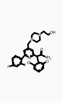 NC(=O)C(c1cc(CN2CCN(CCO)CC2)cc(-c2ccc(F)cc2F)n1)c1c(Cl)cccc1Cl